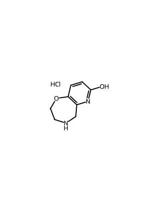 Cl.Oc1ccc2c(n1)CNCCO2